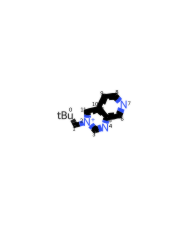 CC(C)(C)C[n+]1cnc2cnccc2c1